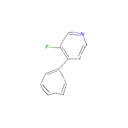 Fc1cnccc1-c1ccccc1